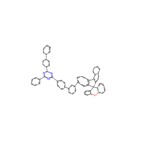 c1ccc(-c2ccc(-c3nc(-c4ccccc4)nc(-c4ccc(-c5cccc(-c6ccc7c(c6)C6(c8ccccc8Oc8ccccc86)c6ccc8ccccc8c6-7)c5)cc4)n3)cc2)cc1